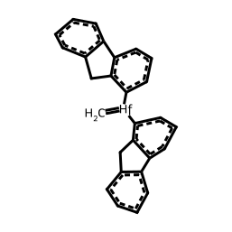 [CH2]=[Hf]([c]1cccc2c1Cc1ccccc1-2)[c]1cccc2c1Cc1ccccc1-2